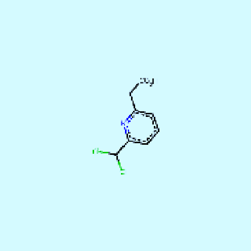 O=C(O)Cc1cccc(C(Cl)Cl)n1